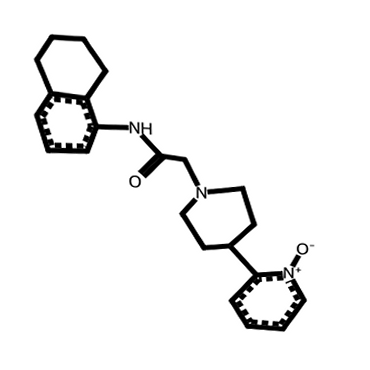 O=C(CN1CCC(c2cccc[n+]2[O-])CC1)Nc1cccc2c1CCCC2